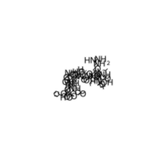 C=C(N[C@H](C(=O)N[C@@H](CC(C)C)C(=O)N[C@H](CCCNC(=N)N)C(=O)NC(C(=O)N[C@H](C(=O)NCC(=O)N[C@H](C(=O)N[C@@H](CO)C(=O)N[C@@H](c1ccc(OC)cc1)[C@H](NC(=O)OCc1ccccc1)C(=O)O)[C@H](O)C(N)=O)[C@H](C)O)[C@@H](C)CC)[C@H](O)C(C)OC)OC(C)(C)C